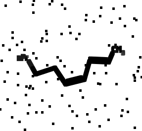 C/C=C/C=C\CCCCC